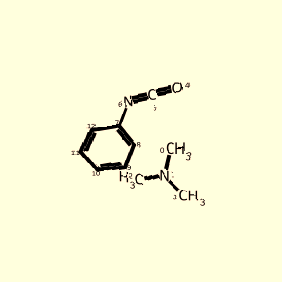 CN(C)C.O=C=Nc1ccccc1